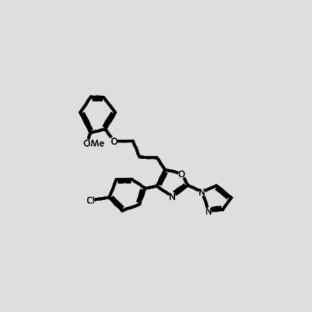 COc1ccccc1OCCCc1oc(-n2cccn2)nc1-c1ccc(Cl)cc1